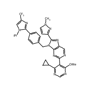 COc1ncnc(C2CC2)c1-c1ncc2nc(-c3ccn(C)n3)n(Cc3ccc(-c4nc(C(F)(F)F)cn4C(C)C)cc3)c2n1